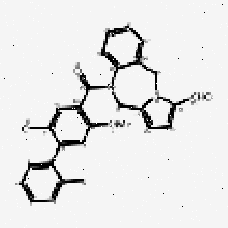 COc1cc(-c2ccccc2C)c(Cl)cc1C(=O)N1Cc2ccc(C=O)n2Cc2ccccc21